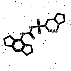 CN1CCCC1CN(C)S(=O)(=O)NC(=O)Nc1c2c(cc3c1CCC3)CCC2